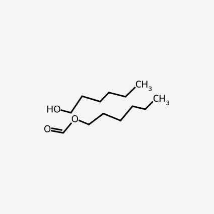 CCCCCCO.CCCCCCOC=O